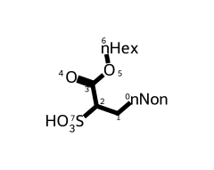 CCCCCCCCCCC(C(=O)OCCCCCC)S(=O)(=O)O